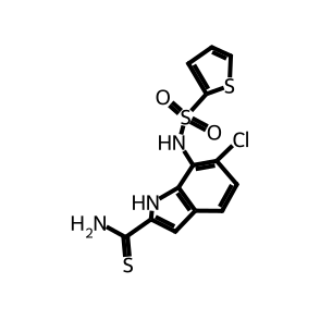 NC(=S)c1cc2ccc(Cl)c(NS(=O)(=O)c3cccs3)c2[nH]1